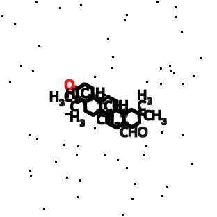 CC1(C)CC[C@]2(C=O)CC[C@]3(C)C(=CC[C@@H]4[C@@]5(C)CCC(=O)C(C)(C)C5CC[C@]43C)[C@H]2C1